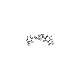 Clc1cccc(CSc2nnc(-c3ccc4occc4c3)o2)c1